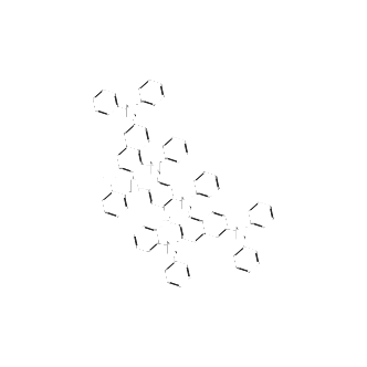 c1ccc(N(c2ccccc2)c2ccc3c4c5c(cc3c2)Oc2ccccc2B5c2cc3c(cc2N4c2ccccc2)N(c2ccccc2)c2c4c(cc5cc(N(c6ccccc6)c6ccccc6)ccc25)N(c2ccccc2)c2ccccc2B34)cc1